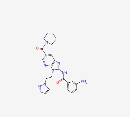 Nc1cccc(C(=O)Nc2nc3cc(C(=O)N4CCCCC4)cnc3n2CCn2cccn2)c1